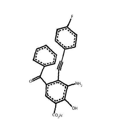 Nc1c(O)c(C(=O)O)cc(C(=O)c2ccccc2)c1C#Cc1ccc(F)cc1